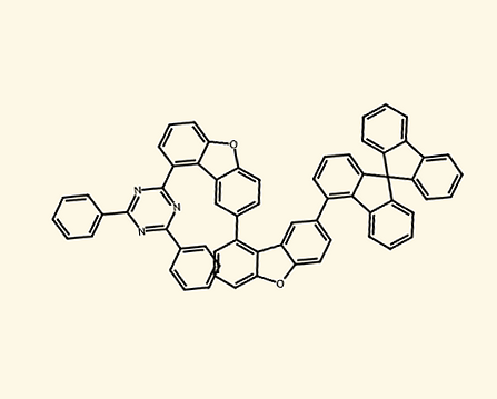 c1ccc(-c2nc(-c3ccccc3)nc(-c3cccc4oc5ccc(-c6cccc7oc8ccc(-c9cccc%10c9-c9ccccc9C%109c%10ccccc%10-c%10ccccc%109)cc8c67)cc5c34)n2)cc1